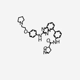 O=C(Nc1cccc(-c2cccc3nc(Nc4ccc(OCCN5CCCC5)cc4)nn23)c1)C1CC=NO1